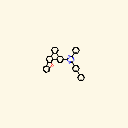 c1ccc(-c2ccc(-c3nc(-c4ccccc4)nc(-c4ccc5c(c4)c4ccccc4c4ccc6c7ccccc7oc6c45)n3)cc2)cc1